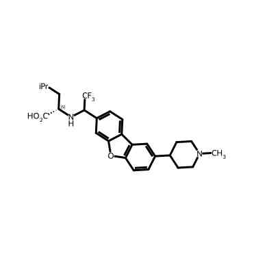 CC(C)C[C@H](NC(c1ccc2c(c1)oc1ccc(C3CCN(C)CC3)cc12)C(F)(F)F)C(=O)O